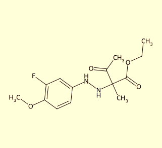 CCOC(=O)C(C)(NNc1ccc(OC)c(F)c1)C(C)=O